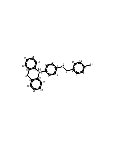 Ic1ccc(COc2ccc([SH]3c4ccccc4Cc4ccccc43)cc2)cc1